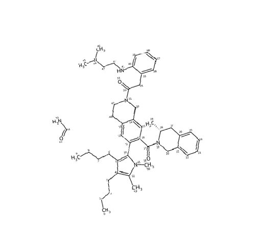 CCCCc1c(CCCC)c(-c2cc3c(cc2C(=O)N2Cc4ccccc4C[C@H]2C)CN(C(=O)Cc2ccccc2NCCN(C)C)CC3)n(C)c1C.NC=O